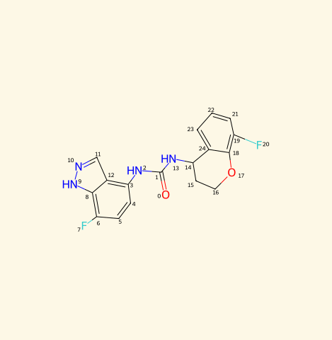 O=C(Nc1ccc(F)c2[nH]ncc12)NC1CCOc2c(F)cccc21